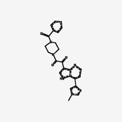 Cc1csc(-c2ccnc3c(C(=O)C(=O)N4CCN(C(=O)c5ccccc5)CC4)c[nH]c23)c1